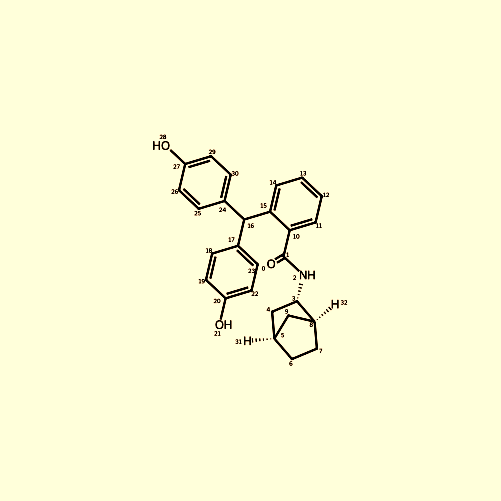 O=C(N[C@H]1C[C@@H]2CC[C@H]1C2)c1ccccc1C(c1ccc(O)cc1)c1ccc(O)cc1